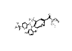 Cc1cc(C(=O)N(C)C)ncc1C(Sc1ccc(C(F)(F)F)nc1)c1cc(F)ccc1F